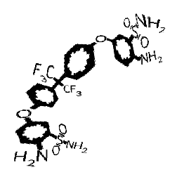 Nc1ccc(Oc2ccc(C(c3ccc(Oc4ccc(N)c(S(N)(=O)=O)c4)cc3)(C(F)(F)F)C(F)(F)F)cc2)cc1S(N)(=O)=O